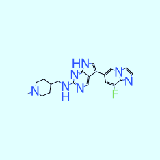 CN1CCC(CNc2ncc3c(-c4cc(F)c5nccn5c4)c[nH]c3n2)CC1